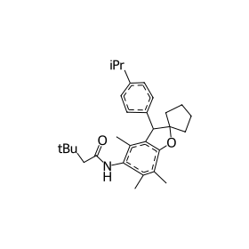 Cc1c(C)c2c(c(C)c1NC(=O)CC(C)(C)C)C(c1ccc(C(C)C)cc1)C1(CCCC1)O2